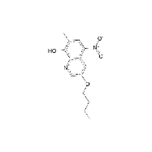 CCCCOc1cnc2c(O)c(C)cc([N+](=O)[O-])c2c1